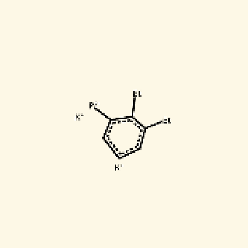 CCc1cccc([P-2])c1CC.[K+].[K+]